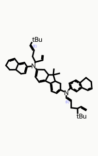 C=CC(C/C=C/C(C)(C)C)N(C1=CCC2CCC=CC2=C1)C1=CC=C2C3=CC=C(N(/C=C/CC(C=C)C(C)(C)C)c4ccc5c(c4)C=CCC5)CC3C(C)(C)C2C1